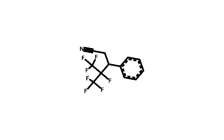 N#CCC(c1ccccc1)C(F)(C(F)(F)F)C(F)(F)F